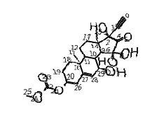 C#C[C@]1(O)C(=O)C(O)(O)C2C3C(CC[C@@]21C)[C@@]1(C)CC[C@H](OC(=O)OC)CC1=C[C@@H]3O